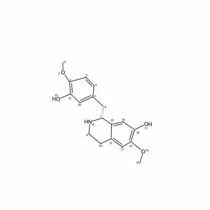 COc1ccc(C[C@H]2NCCc3cc(OC)c(O)cc32)cc1O